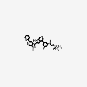 CN(C)CCNc1cc(F)cc(-c2cncc3[nH]c(-c4n[nH]c5cnc(-c6ccccn6)cc45)cc23)c1